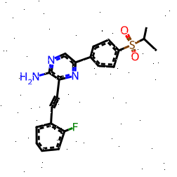 CC(C)S(=O)(=O)c1ccc(-c2cnc(N)c(C#Cc3ccccc3F)n2)cc1